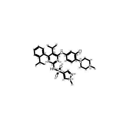 CC(C)c1ccccc1-c1nc(NS(=O)(=O)c2cnn(C)c2)nc(Oc2ccc(N3CCN(C)CC3)c(Cl)c2)c1C(C)C